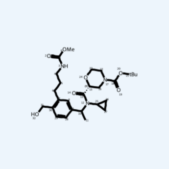 COC(=O)NCCCc1cc(C(C)N(C(=O)[C@H]2CN(C(=O)OC(C)(C)C)CCO2)C2CC2)ccc1CO